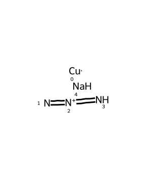 [Cu].[N-]=[N+]=N.[NaH]